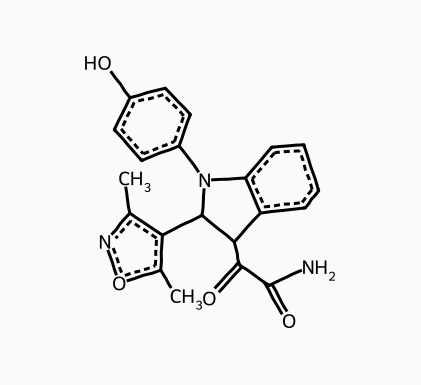 Cc1noc(C)c1C1C(C(=O)C(N)=O)c2ccccc2N1c1ccc(O)cc1